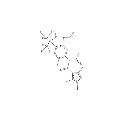 CCCc1cc(N(C(C)=O)C(=O)c2c(C)nn(C)c2C)c(C)cc1C(OC)(C(F)(F)F)C(F)(F)F